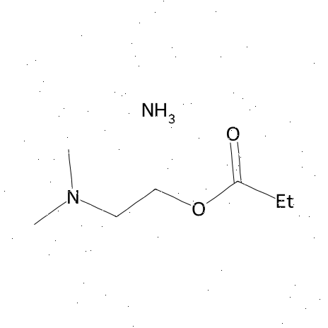 CCC(=O)OCCN(C)C.N